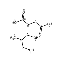 CC(CO)CO.O=C(O)CCC(=O)O